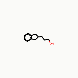 OCCCC1Cc2ccccc2C1